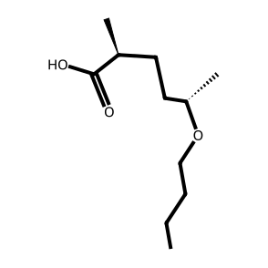 CCCCO[C@@H](C)CC[C@H](C)C(=O)O